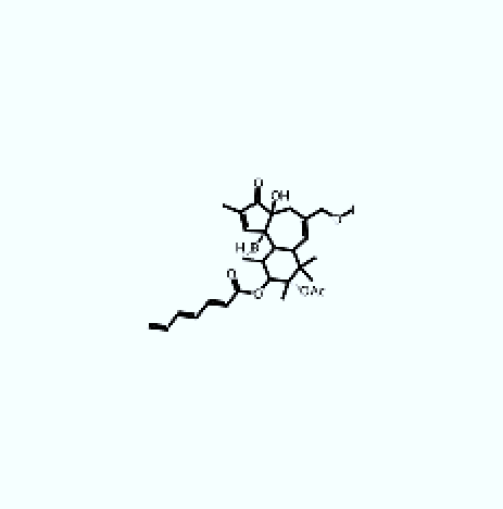 B[C@@]12C=C(C)C(=O)C1(O)CC(COI)=CC1C2[C@H](C)C(OC(=O)/C=C/C=C/C=C)[C@@](C)(OC(C)=O)C1(C)C